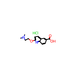 CN(C)CCOc1ccc2cc(C(=O)O)ccc2n1.Cl